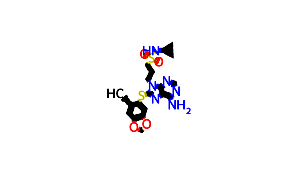 C#Cc1cc2c(cc1Sc1nc3c(N)ncnc3n1CCCS(=O)(=O)NC1CC1)OCO2